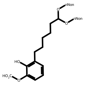 CCCCCCCCCOC(CCCCCc1cccc(OC(=O)O)c1O)OCCCCCCCCC